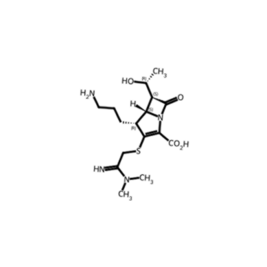 C[C@@H](O)[C@H]1C(=O)N2C(C(=O)O)=C(SCC(=N)N(C)C)[C@H](CCCN)[C@H]12